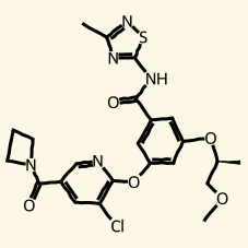 COC[C@H](C)Oc1cc(Oc2ncc(C(=O)N3CCC3)cc2Cl)cc(C(=O)Nc2nc(C)ns2)c1